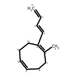 C=CC=CC1=C(C)CCC=CCC1